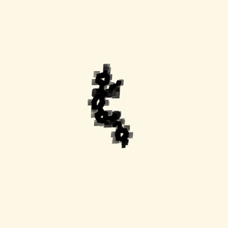 CNCOc1c(-c2ccc(F)cc2)oc2ccc(-c3cccc(C(=O)NCc4ccc(F)cc4)c3)cc12